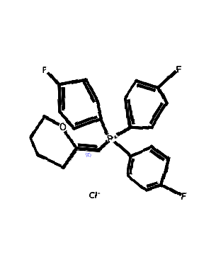 Fc1ccc([P+](/C=C2/CCCCO2)(c2ccc(F)cc2)c2ccc(F)cc2)cc1.[Cl-]